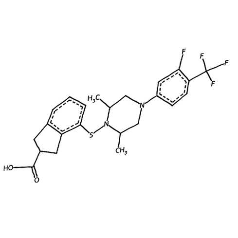 CC1CN(c2ccc(C(F)(F)F)c(F)c2)CC(C)N1Sc1cccc2c1CC(C(=O)O)C2